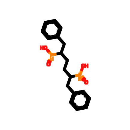 O=[PH](O)C(CCC(Cc1ccccc1)[PH](=O)O)Cc1ccccc1